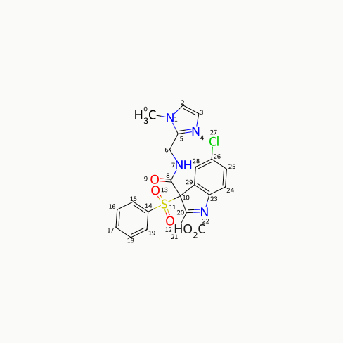 Cn1ccnc1CNC(=O)C1(S(=O)(=O)c2ccccc2)C(C(=O)O)=Nc2ccc(Cl)cc21